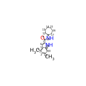 Cc1cc(C)c2cc(C(=O)NC3CCCCCC3)[nH]c2c1